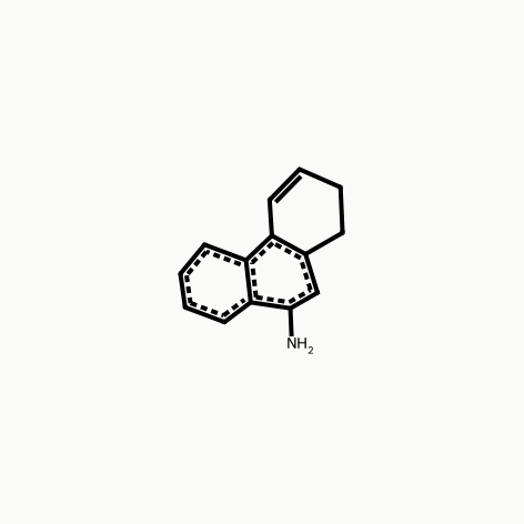 Nc1cc2c(c3ccccc13)C=CCC2